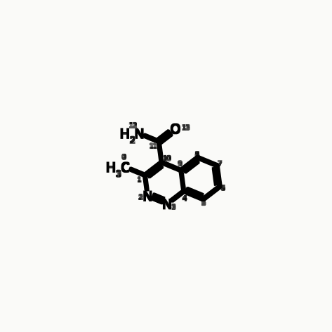 Cc1nnc2ccccc2c1C(N)=O